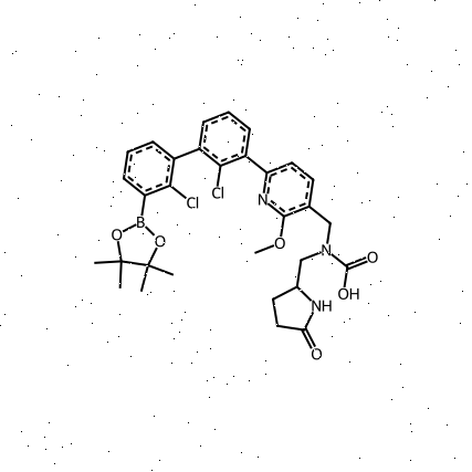 COc1nc(-c2cccc(-c3cccc(B4OC(C)(C)C(C)(C)O4)c3Cl)c2Cl)ccc1CN(CC1CCC(=O)N1)C(=O)O